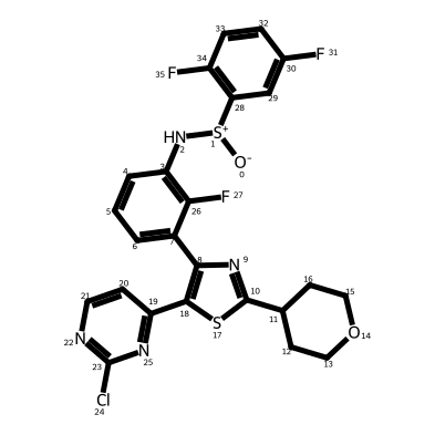 [O-][S+](Nc1cccc(-c2nc(C3CCOCC3)sc2-c2ccnc(Cl)n2)c1F)c1cc(F)ccc1F